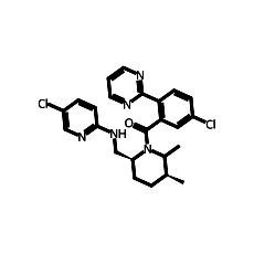 CC1[C@@H](C)CC[C@@H](CNc2ccc(Cl)cn2)N1C(=O)c1cc(Cl)ccc1-c1ncccn1